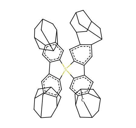 c1c2c(cc3c1C1CC4CC(C1)CC3C4)S1(c3cc4c(cc3-2)C2CC3CC(C2)CC4C3)c2cc3c(cc2-c2cc4c(cc21)C1CC2CC(CC4C2)C1)C1CC2CC(C1)CC3C2